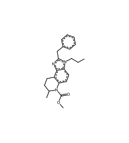 CCCn1c(Cc2ccccc2)nc2c3c(ccc21)N(C(=O)OC)C(C)CC3